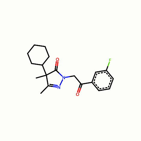 CC1=NN(CC(=O)c2cccc(F)c2)C(=O)C1(C)C1CCCCC1